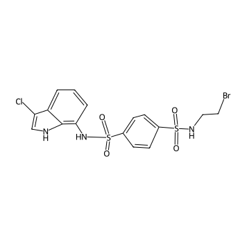 O=S(=O)(NCCBr)c1ccc(S(=O)(=O)Nc2cccc3c(Cl)c[nH]c23)cc1